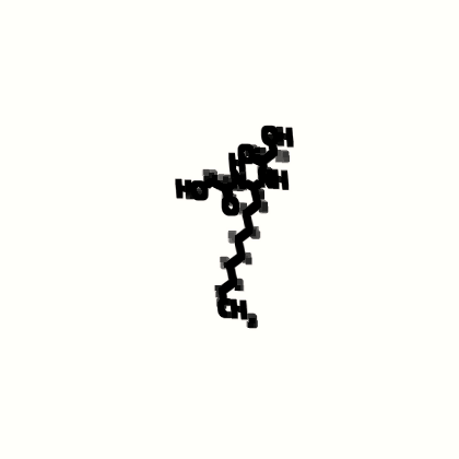 CCCCCCCCCC(NC(=O)CO)NC(=O)CO